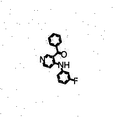 O=C(c1ccccc1)c1cnccc1Nc1cccc(F)c1